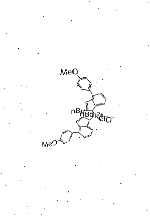 CCCCC1=Cc2c(-c3ccc(OC)cc3)cccc2[CH]1[Ti+2]1([CH]2C(CCCC)=Cc3c(-c4ccc(OC)cc4)cccc32)[CH2][CH2]1.[Cl-].[Cl-]